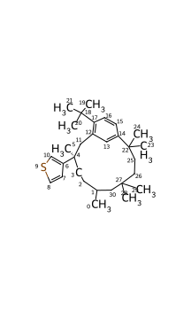 CC1CC[C@@](C)(c2ccsc2)Cc2cc(ccc2C(C)(C)C)C(C)(C)CCC(C)(C)C1